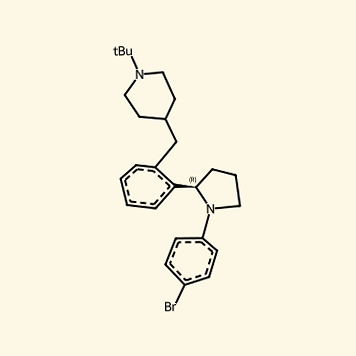 CC(C)(C)N1CCC(Cc2ccccc2[C@H]2CCCN2c2ccc(Br)cc2)CC1